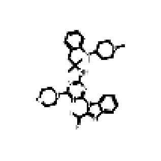 CN1CCC(Nc2ccccc2CC(C)(C)Nc2nc(N3CCOCC3)nc(-n3c(C(F)F)nc4ccccc43)n2)CC1